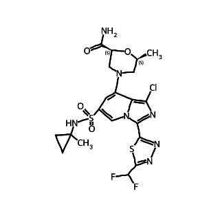 C[C@H]1CN(c2cc(S(=O)(=O)NC3(C)CC3)cn3c(-c4nnc(C(F)F)s4)nc(Cl)c23)C[C@@H](C(N)=O)O1